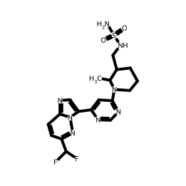 CC1C(CNS(N)(=O)=O)CCCN1c1cc(-c2cnc3ccc(C(F)F)nn23)ncn1